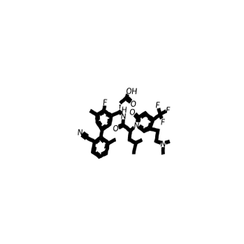 Cc1cc(-c2c(C)cccc2C#N)cc([C@H](CC(=O)O)NC(=O)C(CC(C)C)n2cc(CCN(C)C)c(C(F)(F)F)cc2=O)c1F